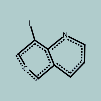 Ic1c[c]cc2cccnc12